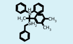 Cc1ccc(C(C)([SiH2]Cc2ccccc2)[SiH](c2ccccc2)c2ccccc2)cc1C